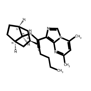 CCCCO[C@H]1C[C@H]2CC[C@@H](C1)[C@H]2NC(=O)c1ncn2c(C)cc(C)nc12